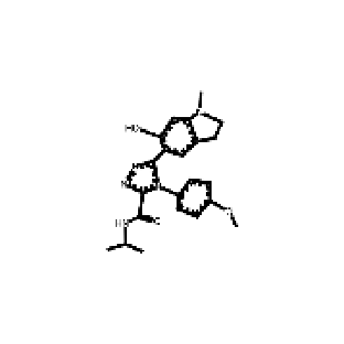 COc1ccc(-n2c(C(=O)NC(C)C)nnc2-c2cc3c(cc2O)N(C)CC3)cc1